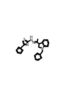 C/C(=N\Nc1nc(-c2ccccc2)cs1)C1CN(Cc2ccccc2)c2ccccc21